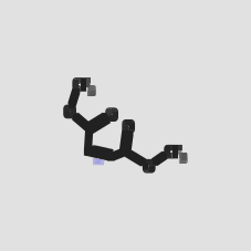 O=C(/C=C\C(=O)OC(F)(F)F)OC(F)(F)F